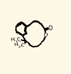 CC1(C)CCCCCOC(=O)CCCc2cccc1c2